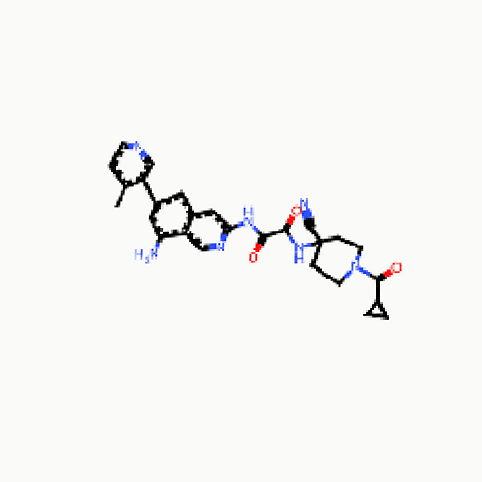 Cc1ccncc1-c1cc(N)c2cnc(NC(=O)C(=O)NC3(C#N)CCN(C(=O)C4CC4)CC3)cc2c1